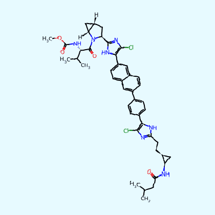 COC(=O)N[C@H](C(=O)N1[C@@H]2C[C@@H]2C[C@H]1c1nc(Cl)c(-c2ccc3cc(-c4ccc(-c5[nH]c(CC[C@H]6C[C@H]6NC(=O)CC(C)C)nc5Cl)cc4)ccc3c2)[nH]1)C(C)C